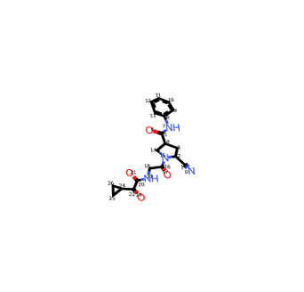 N#CC1CC(C(=O)Nc2ccccc2)CN1C(=O)CNC(=O)C(=O)C1CC1